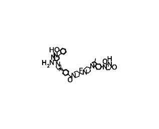 Cc1cn(C2CCN(CC3(F)CCN(C(=O)c4ccc([C@H]5CCN(c6cc(-c7ccccc7O)nnc6N)C5)cc4)CC3)CC2)c2ccc(N3CCC(=O)NC3=O)cc12